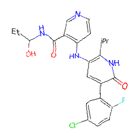 CCC(O)NC(=O)c1cnccc1Nc1cc(-c2cc(Cl)ccc2F)c(=O)[nH]c1C(C)C